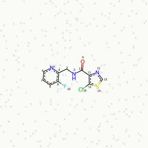 O=C(NCc1ncccc1F)c1ncsc1Cl